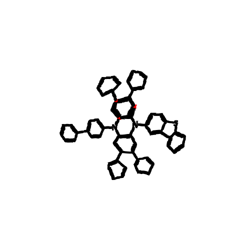 c1ccc(-c2ccc(N(c3ccc(-c4ccccc4)cc3)c3cc(-c4ccccc4)c(-c4ccccc4)cc3N(c3ccc(-c4ccccc4)cc3)c3ccc4sc5ccccc5c4c3)cc2)cc1